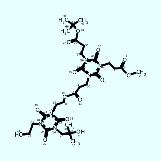 COC(=O)CCn1c(=O)n(CCC(=O)OCCn2c(=O)n(CCO)c(=O)n(CC(C)(C)O)c2=O)c(=O)n(CCC(=O)OC(C)(C)C)c1=O